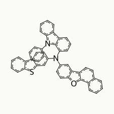 c1ccc(-n2c3ccccc3c3cccc(N(c4ccc5c(c4)sc4ccccc45)c4ccc5oc6c7ccccc7ccc6c5c4)c32)cc1